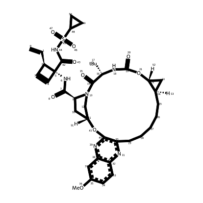 C=C[C@@H]1C#C[C@]1(NC(=O)[C@@H]1C[C@@H]2CN1C(=O)[C@H](C(C)(C)C)NC(=O)O[C@@H]1C[C@H]1CCCCCc1nc3ccc(OC)cc3nc1O2)C(=O)NS(=O)(=O)C1CC1